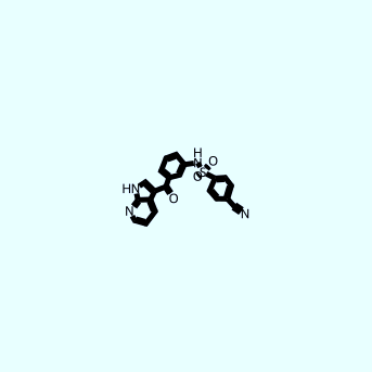 N#Cc1ccc(S(=O)(=O)Nc2cccc(C(=O)c3c[nH]c4ncccc34)c2)cc1